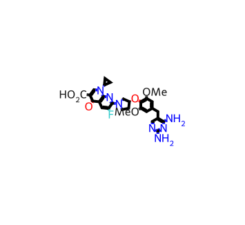 COc1cc(Cc2cnc(N)nc2N)cc(OC)c1O[C@@H]1CCN(c2nc3c(cc2F)c(=O)c(C(=O)O)cn3C2CC2)C1